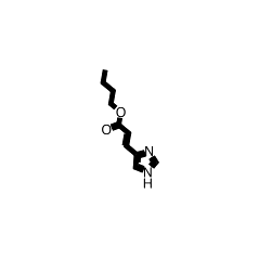 CCCCOC(=O)C=Cc1c[nH]cn1